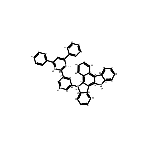 c1ccc(-c2cc(-c3ccccc3)nc(-c3cncc(-n4c5ccccc5c5c6oc7ccccc7c6c6ccccc6c54)c3)n2)cc1